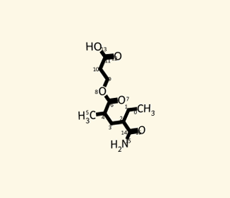 CCC(CC(C)C(=O)OCCC(=O)O)C(N)=O